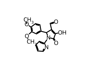 COc1ccc(C2C(C=O)=C(O)C(=O)N2c2ccccn2)cc1OC